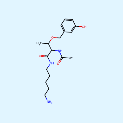 CC(C)C(=O)NC(C(=O)NCCCCCN)C(C)OCc1cccc(O)c1